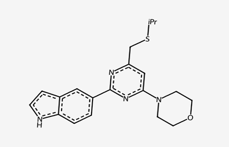 CC(C)SCc1cc(N2CCOCC2)nc(-c2ccc3[nH]ccc3c2)n1